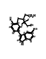 CC(C)(CF)C(CC(=O)O)Cc1cc(-c2c[nH]c3ncc(F)cc23)ncc1F